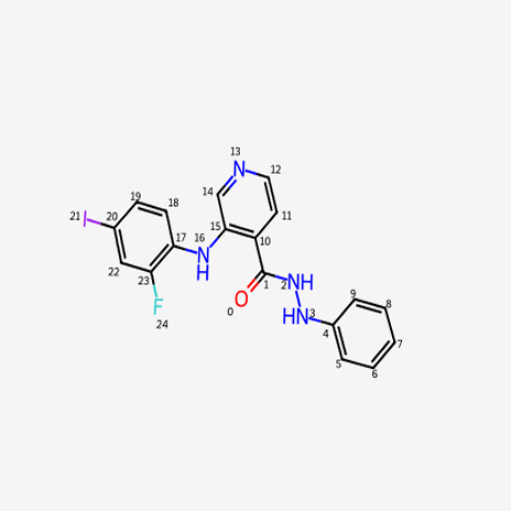 O=C(NNc1ccccc1)c1ccncc1Nc1ccc(I)cc1F